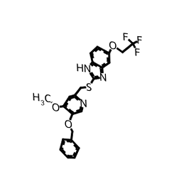 COc1cc(CSc2nc3cc(OCC(F)(F)F)ccc3[nH]2)ncc1OCc1ccccc1